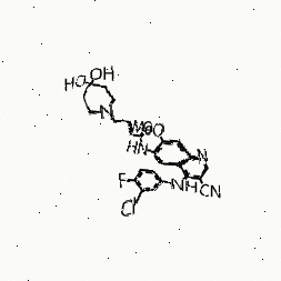 COc1cc2ncc(C#N)c(Nc3ccc(F)c(Cl)c3)c2cc1NC(=O)C=CCN1CCC(O)(O)CC1